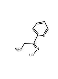 COCC(=NO)c1ccccn1